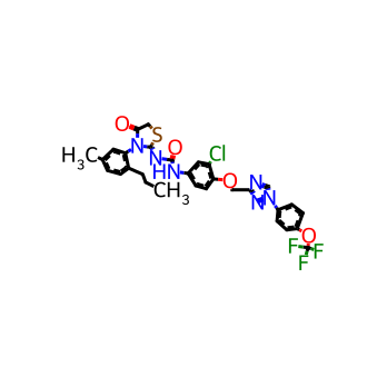 CCCc1ccc(C)cc1N1C(=O)CS/C1=N\C(=O)Nc1ccc(OCc2ncn(-c3ccc(OC(F)(F)F)cc3)n2)c(Cl)c1